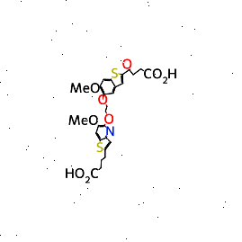 COc1cc2sc(C(=O)CCC(=O)O)cc2cc1OCCOc1nc2cc(CCCC(=O)O)sc2cc1OC